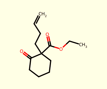 C=CCCC1(C(=O)OCC)CCCCC1=O